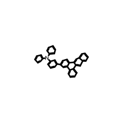 c1ccc(N(c2ccccc2)c2cccc(-c3ccc4c(c3)c3ccccc3c3cc5ccccc5cc43)c2)cc1